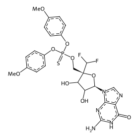 COc1ccc(OP(=S)(OC[C@@]2(C(F)F)O[C@@H](n3cnc4c(=O)[nH]c(N)nc43)C(O)C2O)Oc2ccc(OC)cc2)cc1